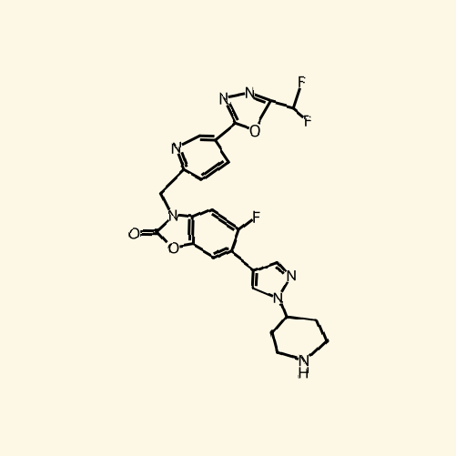 O=c1oc2cc(-c3cnn(C4CCNCC4)c3)c(F)cc2n1Cc1ccc(-c2nnc(C(F)F)o2)cn1